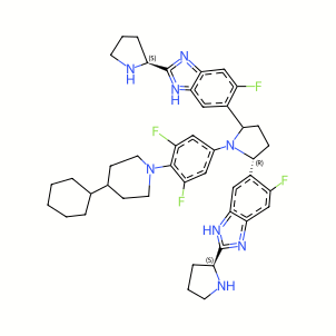 Fc1cc2nc([C@@H]3CCCN3)[nH]c2cc1C1CC[C@H](c2cc3[nH]c([C@@H]4CCCN4)nc3cc2F)N1c1cc(F)c(N2CCC(C3CCCCC3)CC2)c(F)c1